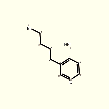 Br.BrCCCCc1cccnc1